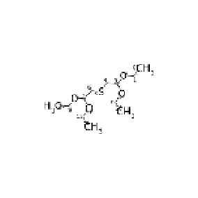 CCOC(CSCC(OCC)OCC)OCC